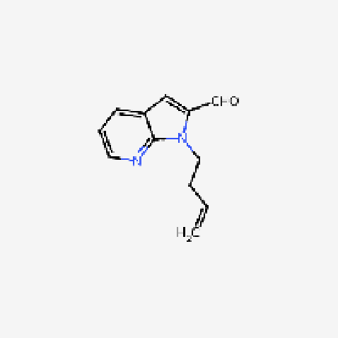 C=CCCn1c(C=O)cc2cccnc21